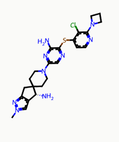 Cn1cc2c(n1)CC1(CCN(c3cnc(Sc4ccnc(N5CCC5)c4Cl)c(N)n3)CC1)[C@@H]2N